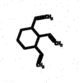 C=CC1CCCC(C=C)C1C=C